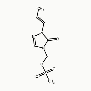 C/C=C/n1ncn(COS(C)(=O)=O)c1=O